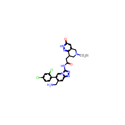 CCOC(=O)N1Cc2cc(=O)[nH]nc2C(CC(=O)Nc2nnc3cc(CN)c(-c4ccc(Cl)cc4Cl)cn23)C1